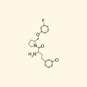 NC(CCc1cccc(Cl)c1)C(=O)N1CCC[C@H]1COc1cccc(F)c1